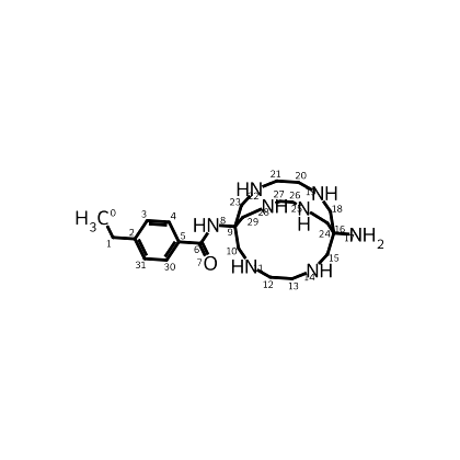 CCc1ccc(C(=O)NC23CNCCNCC(N)(CNCCNC2)CNCCNC3)cc1